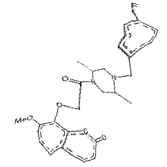 COc1ccc2ccc(=O)oc2c1OCC(=O)N1CC(C)N(Cc2ccc(F)cc2)CC1C